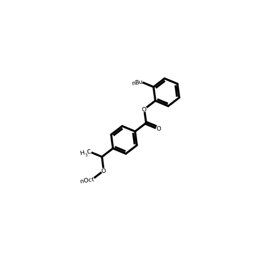 CCCCCCCCOC(C)c1ccc(C(=O)Oc2ccccc2CCCC)cc1